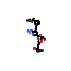 COC(=O)CCCCS(C)(=O)=NC(=O)c1cnc(N)c(C#Cc2cccc(C(=O)O)c2)c1